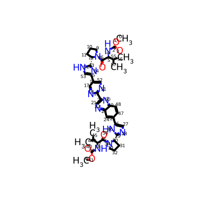 COC(=O)N[C@H](C(=O)N1CCC[C@H]1c1nc(-c2cnc(-c3cnc4cc(-c5cnc([C@@H]6CCCN6C(=O)[C@@H](NC(=O)OC)C(C)C)[nH]5)ccc4n3)nc2)c[nH]1)C(C)C